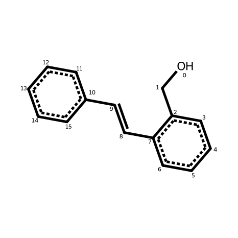 OCc1ccccc1/C=C/c1ccccc1